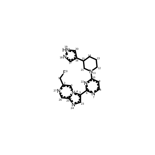 FCc1cn2c(-c3nccc(N4CCCC(c5cn[nH]c5)C4)n3)cnc2cn1